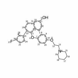 Oc1ccc2c(Oc3ccc(OCCN4CCCCC4)cc3)c(-c3ccc(F)s3)ccc2c1